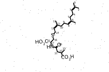 CC(C)=CCCC(C)=CCCC(C)=CCSC[C@H](NC(=O)CC(C)C(=O)O)C(=O)O